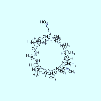 C/C=C/C[C@@H](C)[C@@H](O)[C@H]1C(=O)N[C@@H](CC)C(=O)N(C)CC(=O)N(C)[C@@H]([C@@H](C)OCCC/C=N/O)C(=O)N[C@@H](C(C)C)C(=O)N(C)[C@@H](CC(C)C)C(=O)N[C@@H](C)C(=O)N[C@H](C)C(=O)N(C)[C@@H](CC(C)C)C(=O)N(C)[C@H](CC(C)C)C(=O)N(C)[C@@H](C(C)C)C(=O)N1C